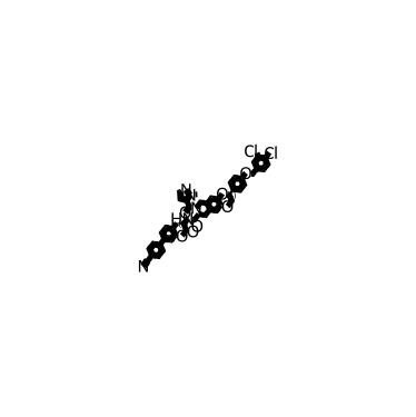 Cn1nccc1C(=O)N1Cc2cc3c(cc2CC1C(=O)N[C@@H](Cc1ccc(-c2ccc(C#N)cc2)cc1)C(=O)O)OC[C@H](c1ccc(OCc2ccc(Cl)c(Cl)c2)cc1)O3